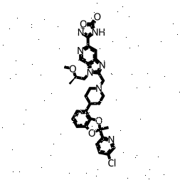 CO[C@H](C)Cn1c(CN2CCC(c3cccc4c3OC(C)(c3ccc(Cl)cn3)O4)CC2)nc2cc(-c3noc(=O)[nH]3)ncc21